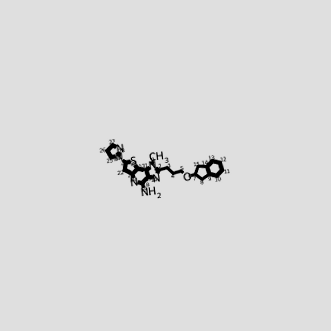 Cn1c(CCCOC2Cc3ccccc3C2)nc2c(N)nc3cc(-n4cccn4)sc3c21